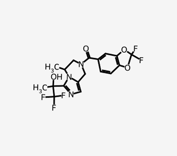 CC1CN(C(=O)c2ccc3c(c2)OC(F)(F)O3)Cc2cnc(C(C)(O)C(F)(F)F)n21